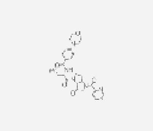 CC(C)CC(NC(=O)c1ccc(N2CCOCC2)cc1)C(=O)N1CCC2C1C(=O)CN2C(=O)c1ccccn1